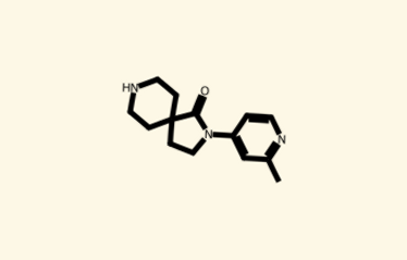 Cc1cc(N2CCC3(CCNCC3)C2=O)ccn1